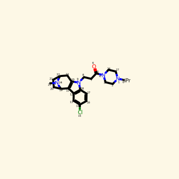 CC(C)N1CCN(C(=O)CCn2c3c(c4cc(Cl)ccc42)C2CCC(C3)N2C)CC1